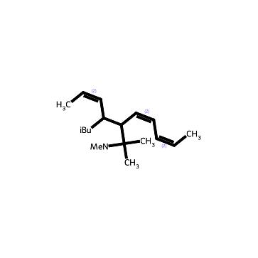 C/C=C\C=C/C(C(/C=C\C)C(C)CC)C(C)(C)NC